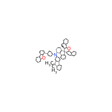 CC1(C)c2ccccc2-c2ccc(N(c3ccc(-c4cccc5c4oc4ccccc45)cc3)C3CC=CC4=C3c3ccccc3C43c4ccc5ccccc5c4Oc4c3ccc3ccccc43)cc21